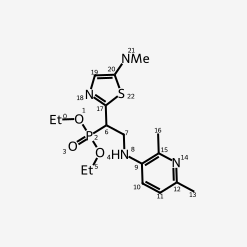 CCOP(=O)(OCC)C(CNc1ccc(C)nc1C)c1ncc(NC)s1